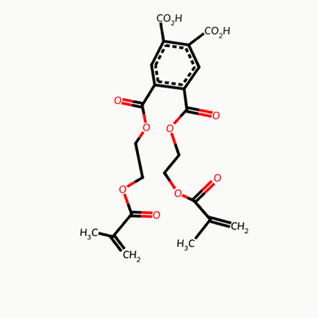 C=C(C)C(=O)OCCOC(=O)c1cc(C(=O)O)c(C(=O)O)cc1C(=O)OCCOC(=O)C(=C)C